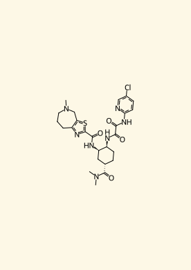 CN1CCCc2nc(C(=O)N[C@@H]3C[C@@H](C(=O)N(C)C)CC[C@@H]3NC(=O)C(=O)Nc3ccc(Cl)cn3)sc2C1